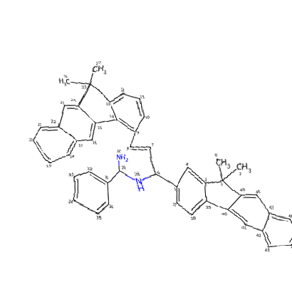 CC1(C)c2cc(C(/C=C/c3cccc4c3-c3cc5ccccc5cc3C4(C)C)NC(N)c3ccccc3)ccc2-c2cc3ccccc3cc21